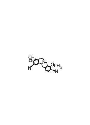 COc1cc2c(cc1C#N)C1Cc3ccc(C#N)c(OC)c3CN1CC2